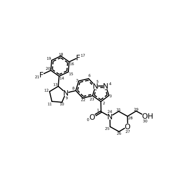 O=C(c1cnn2ccc(N3CCCC3c3cc(F)ccc3F)cc12)N1CCOC(CO)C1